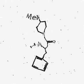 CNC1CCN(C(=O)C(N)Cc2ccccc2)CC1